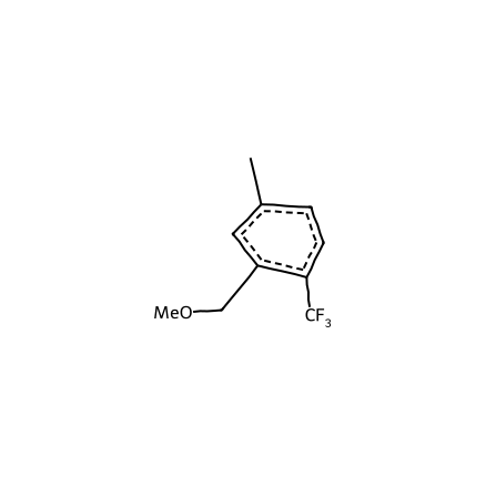 COCc1cc(C)ccc1C(F)(F)F